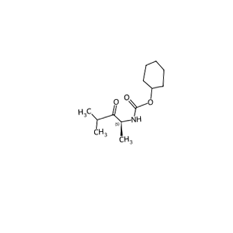 CC(C)C(=O)[C@H](C)NC(=O)OC1CCCCC1